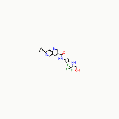 O=C(N[C@H]1C[C@@H](NC(CO)C(F)(F)F)C1)c1cnc2cc(C3CC3)ncc2c1